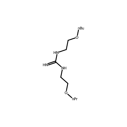 CCCCOCCNC(=N)NCCOCCC